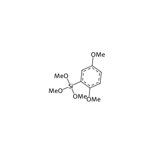 COc1ccc(OC)c([Si](OC)(OC)OC)c1